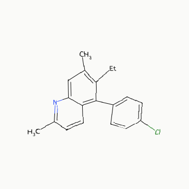 CCc1c(C)cc2nc(C)ccc2c1-c1ccc(Cl)cc1